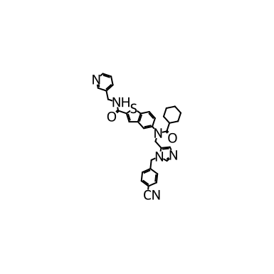 N#Cc1ccc(Cn2cncc2CN(C(=O)C2CCCCC2)c2ccc3sc(C(=O)NCc4cccnc4)cc3c2)cc1